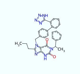 CCCc1nc2[nH]c(=O)n(C(C)c3ccccc3)c(=O)c2n1Cc1ccc(-c2ccccc2-c2nnn[nH]2)cc1